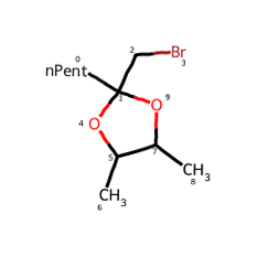 CCCCCC1(CBr)OC(C)C(C)O1